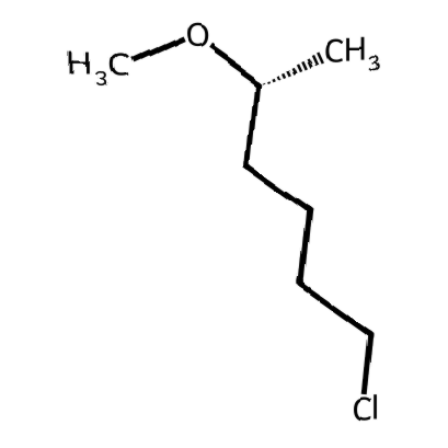 CO[C@H](C)CCCCCl